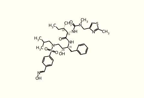 CC[C@H](C)[C@H](NC(=O)N(C)Cc1csc(C)n1)C(=O)N[C@@H](Cc1ccccc1)[C@H](O)CN(CC(C)C)S(=O)(=O)c1ccc(C=NO)cc1